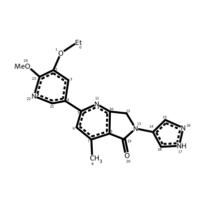 CCOc1cc(-c2cc(C)c3c(n2)CN(c2cn[nH]c2)C3=O)cnc1OC